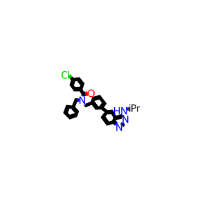 CC(C)Nc1ncnc2ccc(-c3cccc(CN(Cc4ccccc4)C(=O)c4ccc(Cl)cc4)c3)cc12